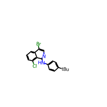 CC(C)(C)c1ccc(Nc2ncc(Br)c3cccc(Cl)c23)cc1